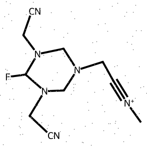 C[N+]#CCN1CN(CC#N)C(F)N(CC#N)C1